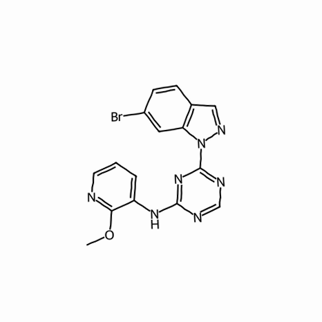 COc1ncccc1Nc1ncnc(-n2ncc3ccc(Br)cc32)n1